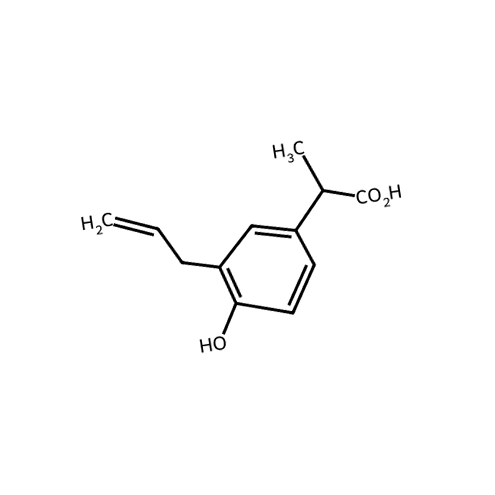 C=CCc1cc(C(C)C(=O)O)ccc1O